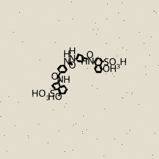 O=C(Nc1ccc(C(=O)Nc2ccc(S(=O)(=O)O)c3c(O)cccc23)cc1)Nc1ccc(C(=O)Nc2ccc(S(=O)(=O)O)c3c(O)cccc23)cc1